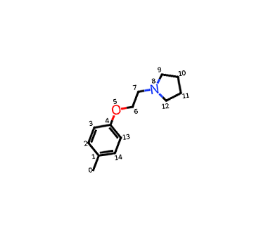 Cc1ccc(OCCN2CCCC2)cc1